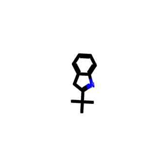 CC(C)(C)C1=Nc2ccccc2C1